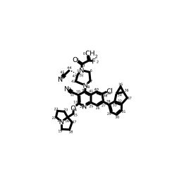 C=C(F)C(=O)N1CCN(c2c(C#N)c(OCC34CCCN3CCC4)nc3cc(-c4cccc5c4C4CC4C5)c(Cl)cc23)C[C@@H]1CC#N